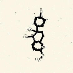 COc1ccc2c(n1)CCC(C)(c1ccc(Cl)cc1)C2O